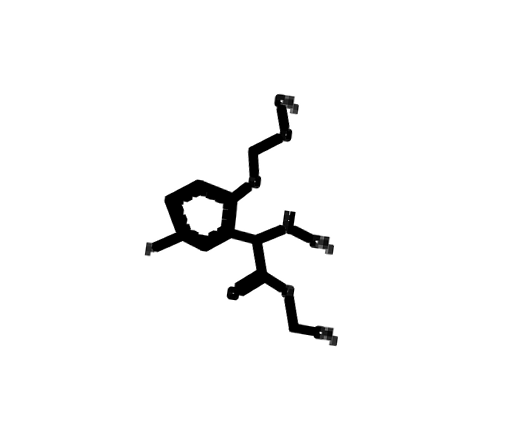 CCOC(=O)C(NC)c1cc(F)ccc1OCOC